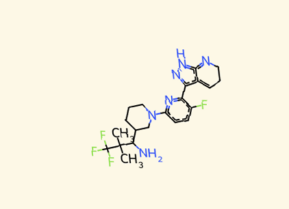 CC(C)(C(N)C1CCCN(c2ccc(F)c(-c3n[nH]c4c3=CCCN=4)n2)C1)C(F)(F)F